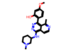 COc1ccc(-c2nnc(NC3CCCN(C)C3)c3ccnc(C)c23)c(O)c1